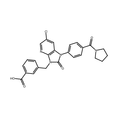 O=C(O)c1cccc(Cn2c(=O)n(-c3ccc(C(=O)N4CCCC4)cc3)c3cc(Cl)cnc32)c1